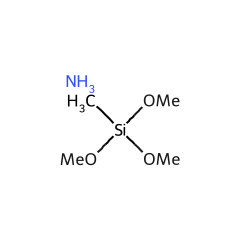 CO[Si](C)(OC)OC.N